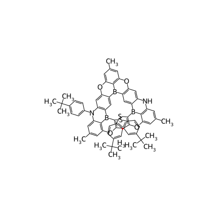 Cc1cc2c3c(c1)Oc1c(sc4ccc(C(C)(C)C)cc14)B3c1cc3c(cc1N2)Oc1cc(C)cc2c1B3c1cc3c(cc1O2)N(c1ccc(C(C)(C)C)cc1)c1cc(C)cc2c1B3c1sc3ccc(C(C)(C)C)cc3c1O2